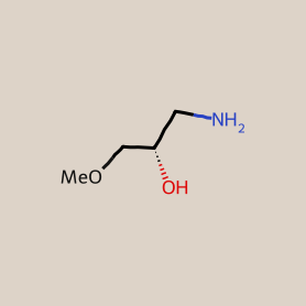 COC[C@@H](O)CN